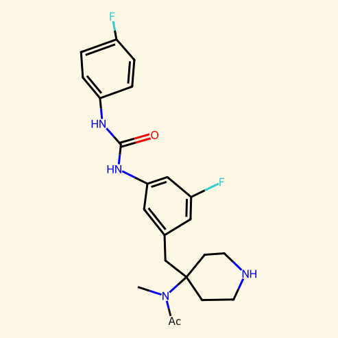 CC(=O)N(C)C1(Cc2cc(F)cc(NC(=O)Nc3ccc(F)cc3)c2)CCNCC1